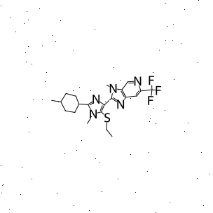 CCSc1c(-c2nc3cc(C(F)(F)F)ncc3n2C)nc(C2CCC(C)CC2)n1C